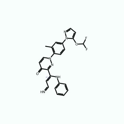 Cc1cc(-n2nccc2OC(F)F)ccc1-n1ccc(=O)c(/C(=C/C=N)Nc2ccccc2)n1